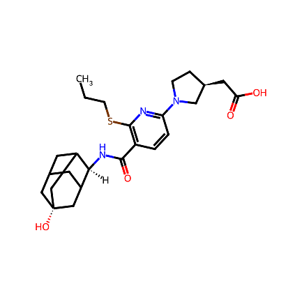 CCCSc1nc(N2CC[C@@H](CC(=O)O)C2)ccc1C(=O)N[C@H]1C2CC3CC1C[C@](O)(C3)C2